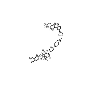 CC1(C)C(NC(=O)c2ccc(N3CCC4(CC3)CN(CC3CCN(c5ccc6nnn(C7CCC(=O)NC7=O)c(=O)c6c5)CC3)C4)nc2)C(C)(C)C1Oc1ccc(C#N)c(Cl)c1